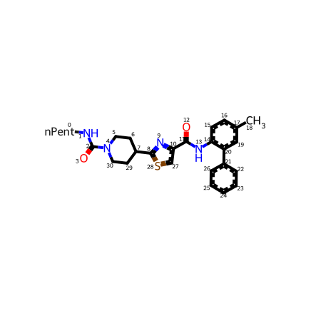 CCCCCNC(=O)N1CCC(c2nc(C(=O)Nc3ccc(C)cc3-c3ccccc3)cs2)CC1